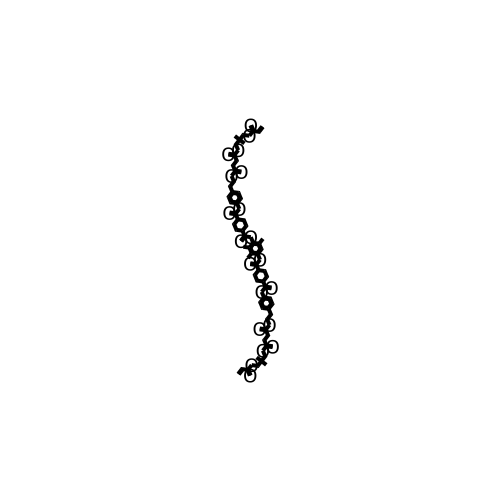 C=CC(=O)OCC(C)(C)COC(=O)CCC(=O)OCCc1ccc(OC(=O)C2CCC(C(=O)Oc3cc(C)c(OC(=O)C4CCC(C(=O)Oc5ccc(CCOC(=O)CCC(=O)OCC(C)(C)COC(=O)C=C)cc5)CC4)c(C)c3C)CC2)cc1